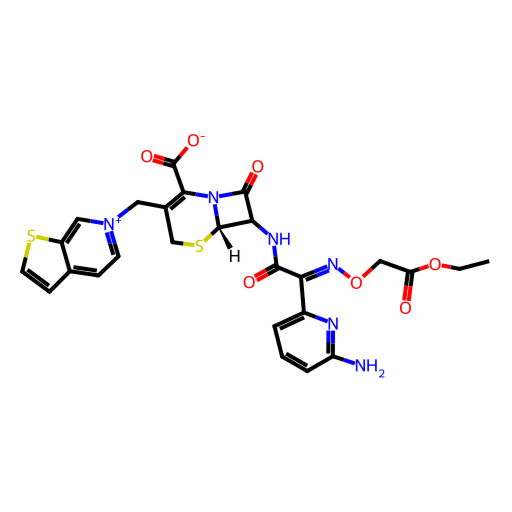 CCOC(=O)CON=C(C(=O)NC1C(=O)N2C(C(=O)[O-])=C(C[n+]3ccc4ccsc4c3)CS[C@@H]12)c1cccc(N)n1